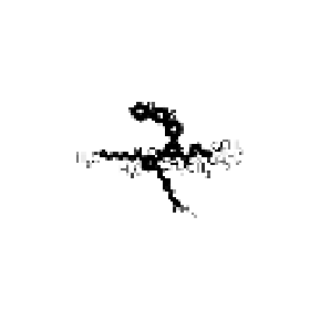 C=C(C)SC(=C)c1ccc(C(CC)c2cc(-c3ccc4sc5cc6oc7ccccc7c6cc5c4c3)cc(C(C)(CC)c3cc(CCCCCCCC)c(C)cc3CCCCCCCC)c2)s1